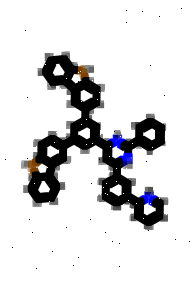 c1ccc(-c2nc(-c3cc(-c4ccc5sc6ccccc6c5c4)cc(-c4ccc5sc6ccccc6c5c4)c3)cc(-c3cccc(-c4ccccn4)c3)n2)cc1